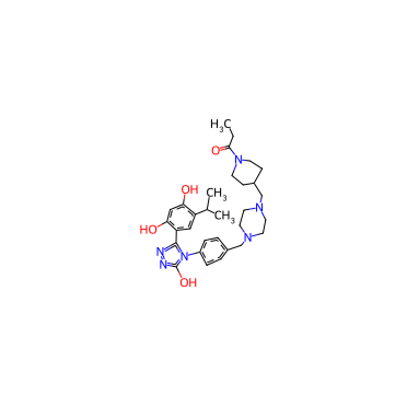 CCC(=O)N1CCC(CN2CCN(Cc3ccc(-n4c(O)nnc4-c4cc(C(C)C)c(O)cc4O)cc3)CC2)CC1